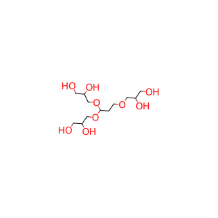 OCC(O)COCCC(OCC(O)CO)OCC(O)CO